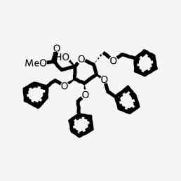 COC(=O)C[C@]1(O)O[C@H](COCc2ccccc2)[C@@H](OCc2ccccc2)[C@H](OCc2ccccc2)[C@H]1OCc1ccccc1